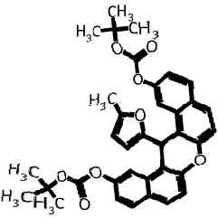 Cc1ccc(C2c3c(ccc4ccc(OC(=O)OC(C)(C)C)cc34)Oc3ccc4ccc(OC(=O)OC(C)(C)C)cc4c32)o1